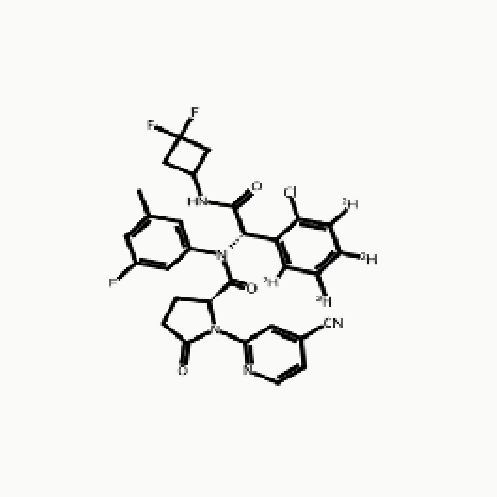 [2H]c1c([2H])c([2H])c([C@@H](C(=O)NC2CC(F)(F)C2)N(C(=O)[C@@H]2CCC(=O)N2c2cc(C#N)ccn2)c2cc(C)cc(F)c2)c(Cl)c1[2H]